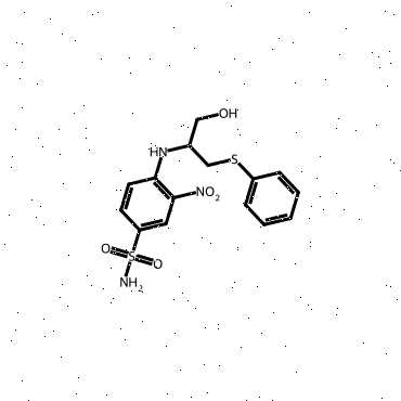 NS(=O)(=O)c1ccc(NC(CO)CSc2ccccc2)c([N+](=O)[O-])c1